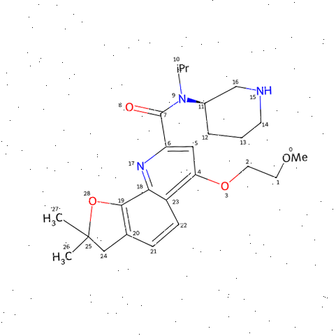 COCCOc1cc(C(=O)N(C(C)C)[C@@H]2CCCNC2)nc2c3c(ccc12)CC(C)(C)O3